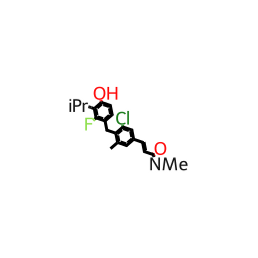 CNC(=O)/C=C/c1cc(C)c(Cc2ccc(O)c(C(C)C)c2F)c(Cl)c1